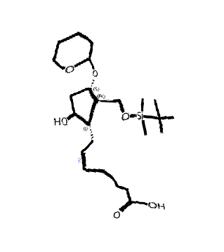 CC(C)(C)[Si](C)(C)OC[C@@H]1[C@@H](OC2CCCCO2)CC(O)[C@H]1C/C=C\CCCC(=O)O